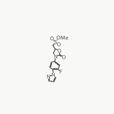 COS(=O)(=O)CC1CN(c2ccc(-n3cccn3)c(F)c2)C(=O)O1